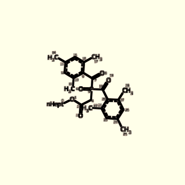 CCCCCCCOC(=O)CP(=O)(C(=O)c1c(C)cc(C)cc1C)C(=O)c1c(C)cc(C)cc1C